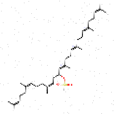 CC(C)=CCCC(C)=CCCC(C)=CCC(/C=C(\C)CC/C=C(\C)CC/C=C(\C)CCC=C(C)C)OS(C)(=O)=O